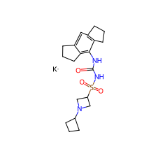 O=C(Nc1c2c(cc3c1CCC3)CCC2)NS(=O)(=O)C1CN(C2CCC2)C1.[K]